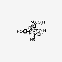 CC1(C)S[C@@H]2[C@H](NC(=O)[C@H](N)c3ccc(O)cc3)C(=O)N2[C@H]1C(=O)O.C[C@H](CS)C(=O)N1CCC[C@H]1C(=O)O